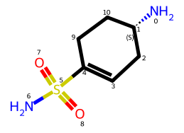 N[C@@H]1CC=C(S(N)(=O)=O)CC1